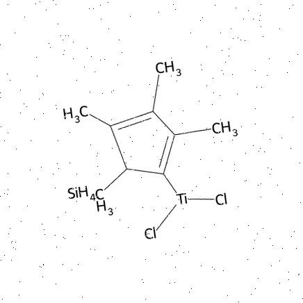 CC1=C(C)C(C)[C]([Ti]([Cl])[Cl])=C1C.[SiH4]